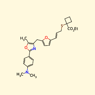 CCOC(=O)C1(SC/C=C/c2ccc(Cc3nc(-c4ccc(N(C)C)cc4)oc3C)o2)CCC1